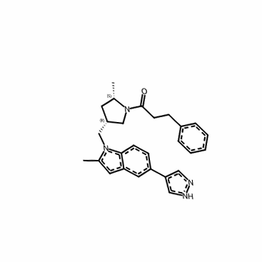 Cc1cc2cc(-c3cn[nH]c3)ccc2n1C[C@@H]1C[C@H](C)N(C(=O)CCc2ccccc2)C1